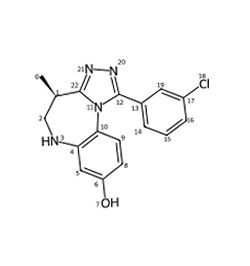 C[C@@H]1CNc2cc(O)ccc2-n2c(-c3cccc(Cl)c3)nnc21